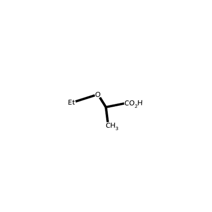 [CH2]COC(C)C(=O)O